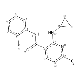 O=C(Nc1ccccc1F)c1cnc(Cl)nc1NC1CC1